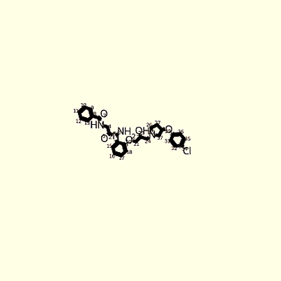 NN(C(=O)CNC(=O)c1ccccc1)c1ccccc1OCC(O)CN1CCC(Oc2ccc(Cl)cc2)C1